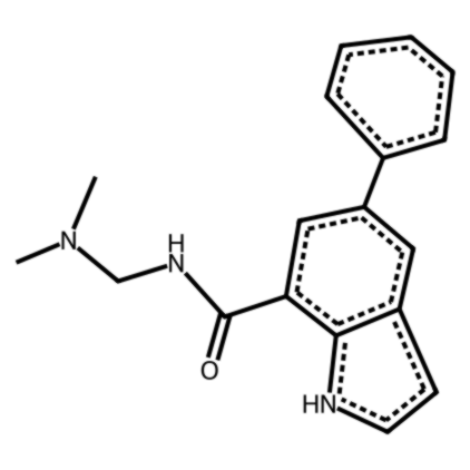 CN(C)CNC(=O)c1cc(-c2ccccc2)cc2cc[nH]c12